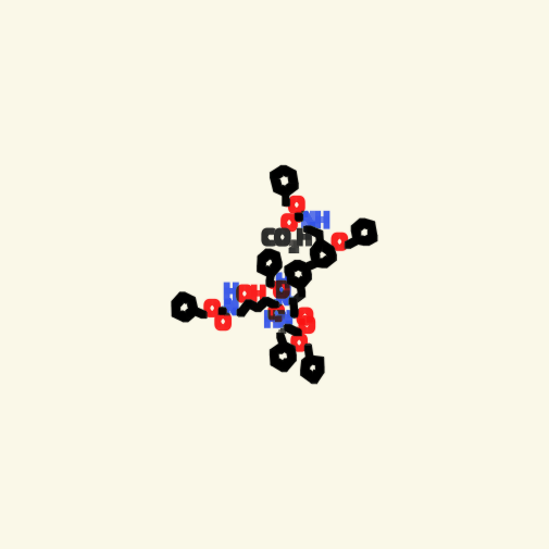 O=C(CC[C@@H](O)CNC(=O)OCc1ccccc1)N[C@@H](Cc1cc(-c2ccc(OCc3ccccc3)c(C[C@H](NC(=O)OCc3ccccc3)C(=O)O)c2)ccc1OCc1ccccc1)C(=O)N[C@@H](Cc1ccccc1)C(=O)OCc1ccccc1